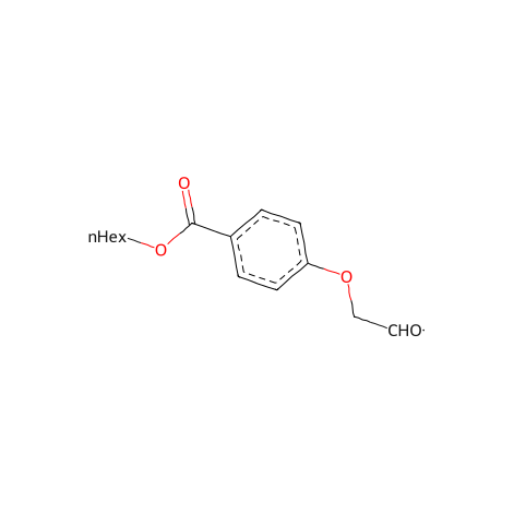 CCCCCCOC(=O)c1ccc(OC[C]=O)cc1